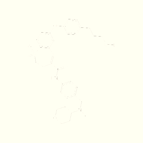 CCOCCCc1ccc(Oc2ccc3c(c2)C=C(C(=O)Nc2ccc(CN(C)C4CCOCC4)cc2)CCS3(=O)=O)cc1